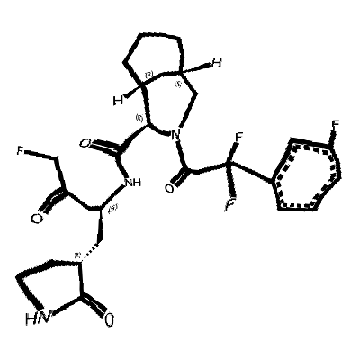 O=C1NCC[C@@H]1C[C@H](NC(=O)[C@H]1[C@@H]2CCC[C@@H]2CN1C(=O)C(F)(F)c1cccc(F)c1)C(=O)CF